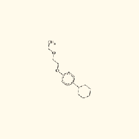 CCOCCOc1ccc(C2CCCCC2)cc1